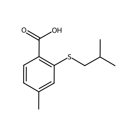 Cc1ccc(C(=O)O)c(SCC(C)C)c1